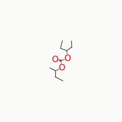 CCC(C)OC(=O)OC(CC)CC